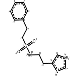 O=S(=O)(CCc1ccccc1)NCCc1c[nH]cn1